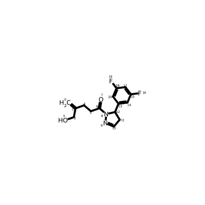 C=C(CO)CCC(=O)N1N=CCC1c1cc(F)cc(F)c1